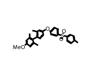 COc1cc(C)c(-c2ccc(Oc3ccc(S(=O)(=O)c4ccc(C)cc4)cc3)cc2C)c(C)c1